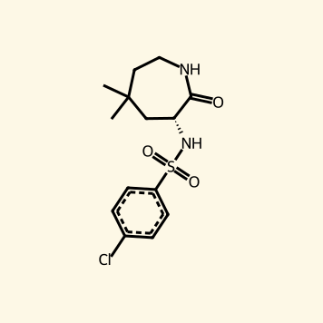 CC1(C)CCNC(=O)[C@H](NS(=O)(=O)c2ccc(Cl)cc2)C1